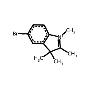 CC1=[N+](C)c2ccc(Br)cc2C1(C)C